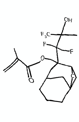 C=C(C)C(=O)OC1(C(F)(F)C(C)(O)C(F)(F)F)C2CCCC3(C2)CC1C3